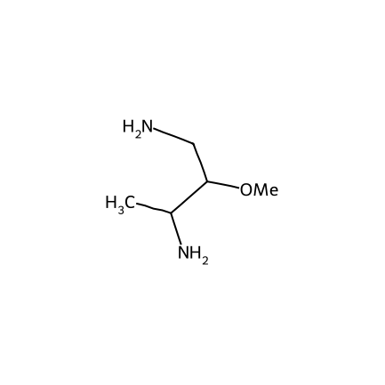 COC(CN)C(C)N